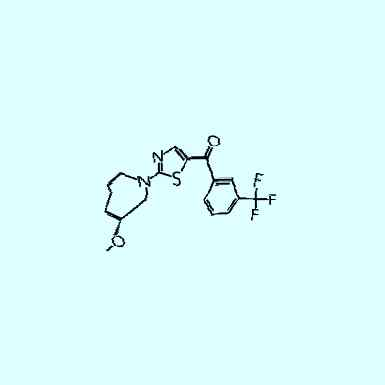 CO[C@H]1CCCN(c2ncc(C(=O)c3cccc(C(F)(F)F)c3)s2)C1